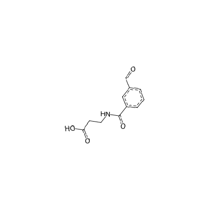 O=Cc1cccc(C(=O)NCCC(=O)O)c1